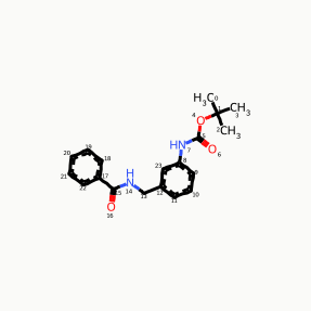 CC(C)(C)OC(=O)Nc1cccc(CNC(=O)c2ccccc2)c1